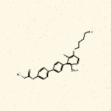 CCCCCCCCCCCCCCOc1ccc(C(=O)O)c(-c2ccc(-c3ccc(OC(=O)C[C@@H](C)CC)cc3)cc2)c1F